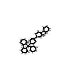 c1ccc(C2(c3ccc(-c4ccc5c(c4)oc4ccccc45)cc3)c3ccccc3-c3ccccc32)cc1